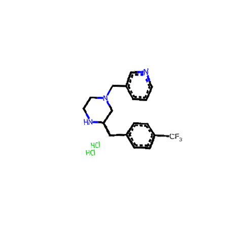 Cl.Cl.FC(F)(F)c1ccc(CC2CN(Cc3cccnc3)CCN2)cc1